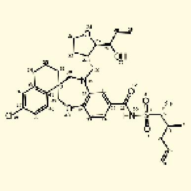 C=CC[C@H](C)[C@@H](C)S(=O)(=O)NC(=O)c1ccc2c(c1)N(C[C@@H]1CCO[C@H]1C(O)C=C)C[C@@]1(CCCc3cc(Cl)ccc31)CO2